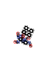 C1CCC(CC2CCCCC2)CC1.C1CCC(CC2CCCCC2)CC1.O=C=NC1CCC(CC2CCC(N=C=O)(N=C=O)CC2N=C=O)C(N=C=O)(N=C=O)C1